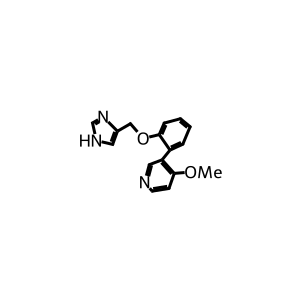 COc1ccncc1-c1ccccc1OCc1c[nH]cn1